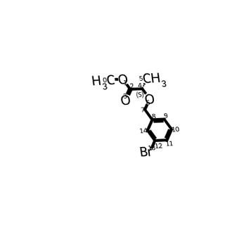 COC(=O)[C@H](C)OCc1cccc(Br)c1